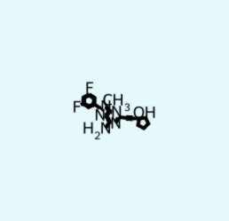 Cn1c(-c2cc(F)cc(F)c2)nc2c(N)nc(C#CC3(O)CCCC3)nc21